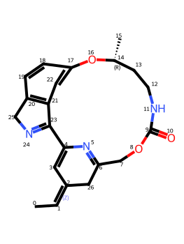 C/C=C1\C=C2N=C(COC(=O)NCC[C@@H](C)Oc3ccc4c(c3)C2=NC4)C1